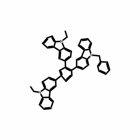 CCn1c2ccccc2c2cc(-c3ccc(-c4ccc5c(c4)c4ccccc4n5Cc4ccccc4)c(-c4ccc5c(c4)c4ccccc4n5CC)c3)ccc21